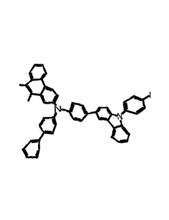 Cc1c(C)c2cc(N(c3ccc(-c4ccccc4)cc3)c3ccc(-c4ccc5c(c4)c4ccccc4n5-c4ccc(I)cc4)cc3)ccc2c2ccccc12